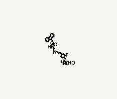 CN(CCCc1ccc(CN(C=O)OC(C)(C)C)c(F)c1)CCNC(=O)OCC1c2ccccc2-c2ccccc21